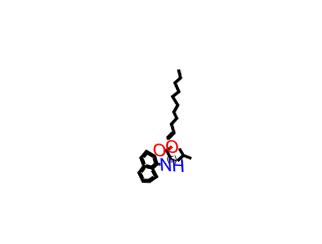 CCCCCCCCCC=COC(=O)[C@H](CC(C)C)Nc1cccc2ccccc12